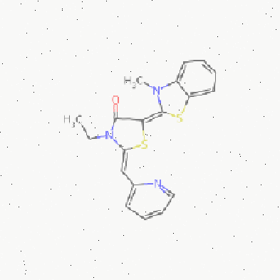 CCn1c(=Cc2ccccn2)sc(=C2Sc3ccccc3N2C)c1=O